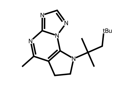 Cc1nc2ncnn2c2c1CCN2C(C)(C)CC(C)(C)C